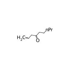 [CH2]CCCCC(=O)CC=C